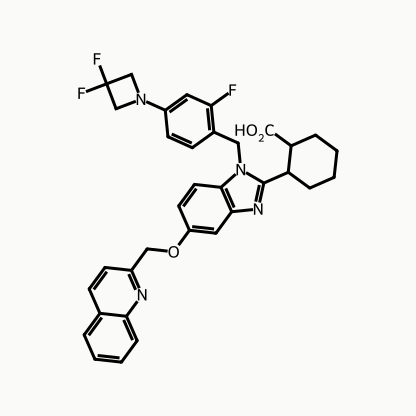 O=C(O)C1CCCCC1c1nc2cc(OCc3ccc4ccccc4n3)ccc2n1Cc1ccc(N2CC(F)(F)C2)cc1F